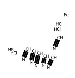 C#N.C#N.C#N.C#N.C#N.C#N.Cl.Cl.Cl.[Fe].[KH]